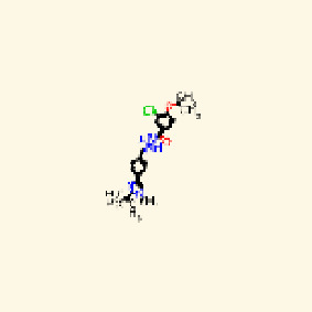 CC(C)Oc1ccc(C(=O)NNCc2ccc(-c3cn(C)c(C(C)(C)C)n3)cc2)cc1Cl